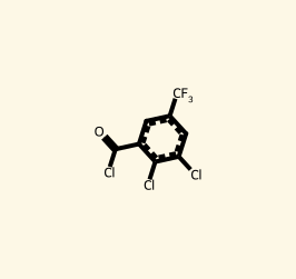 O=C(Cl)c1cc(C(F)(F)F)cc(Cl)c1Cl